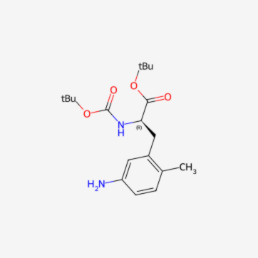 Cc1ccc(N)cc1C[C@@H](NC(=O)OC(C)(C)C)C(=O)OC(C)(C)C